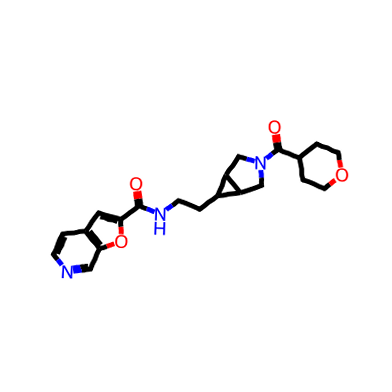 O=C(NCCC1C2CN(C(=O)C3CCOCC3)CC12)c1cc2ccncc2o1